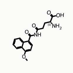 COc1ccc(C(=O)NC(=O)CC[C@H](N)C(=O)O)c2ccccc12